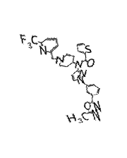 Cc1nnc(-c2cccc(-n3ccc(N(C(=O)c4cccs4)C4CCN(Cc5cccc(C(F)(F)F)n5)CC4)n3)c2)o1